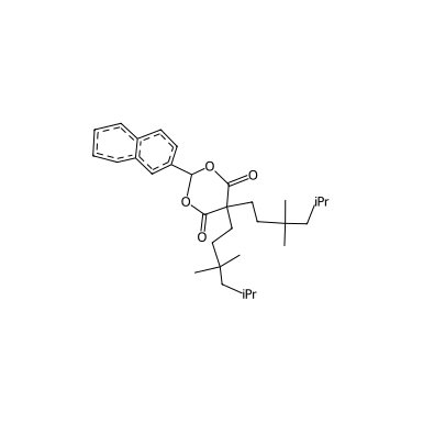 CC(C)CC(C)(C)CCC1(CCC(C)(C)CC(C)C)C(=O)OC(c2ccc3ccccc3c2)OC1=O